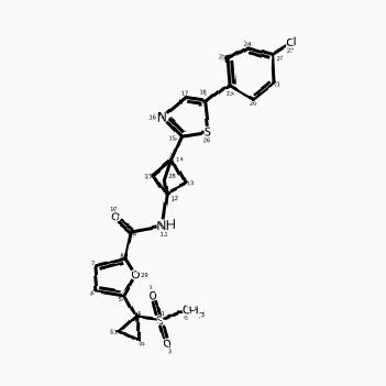 CS(=O)(=O)C1(c2ccc(C(=O)NC34CC(c5ncc(-c6ccc(Cl)cc6)s5)(C3)C4)o2)CC1